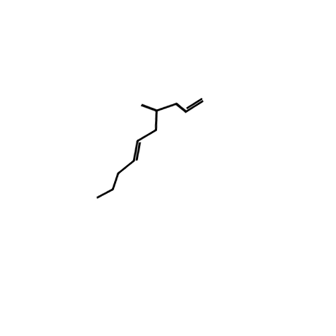 C=CCC(C)CC=CCCC